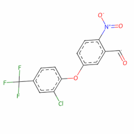 O=[C]c1cc(Oc2ccc(C(F)(F)F)cc2Cl)ccc1[N+](=O)[O-]